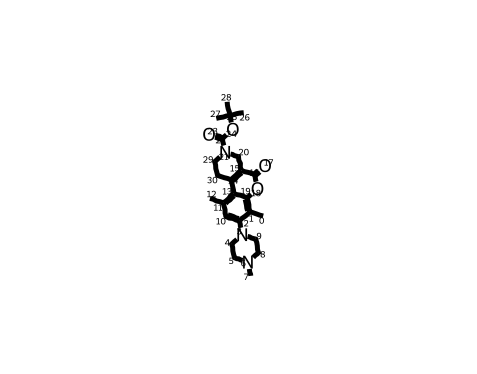 Cc1c(N2CCN(C)CC2)cc(C)c2c3c(c(=O)oc12)CN(C(=O)OC(C)(C)C)CC3